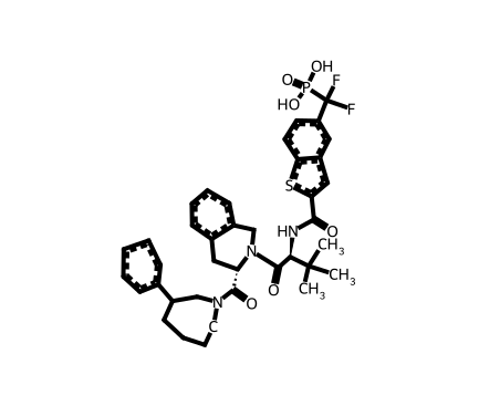 CC(C)(C)[C@H](NC(=O)c1cc2cc(C(F)(F)P(=O)(O)O)ccc2s1)C(=O)N1Cc2ccccc2C[C@H]1C(=O)N1CCCCC(c2ccccc2)C1